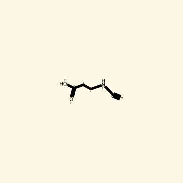 C#CNCCC(=O)O